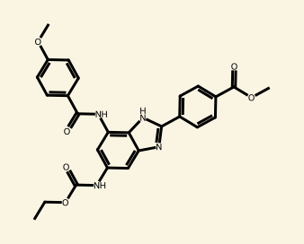 CCOC(=O)Nc1cc(NC(=O)c2ccc(OC)cc2)c2[nH]c(-c3ccc(C(=O)OC)cc3)nc2c1